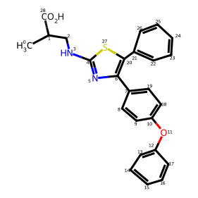 CC(CNc1nc(-c2ccc(Oc3ccccc3)cc2)c(-c2ccccc2)s1)C(=O)O